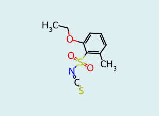 CCOc1cccc(C)c1S(=O)(=O)N=C=S